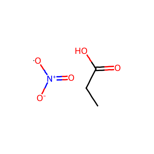 CCC(=O)O.[O][N+](=O)[O-]